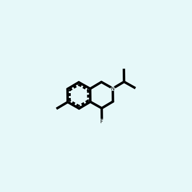 Cc1ccc2c(c1)C(F)CN(C(C)C)C2